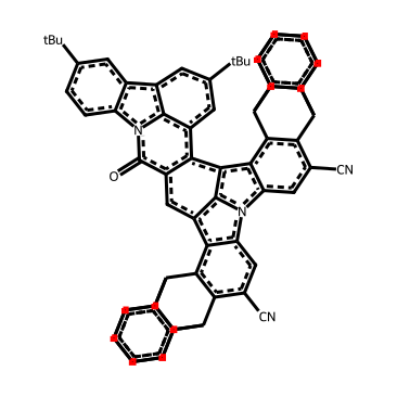 CC(C)(C)c1ccc2c(c1)c1cc(C(C)(C)C)cc3c4c(cc5c6c7c(c(C#N)cc6n6c8cc(C#N)c9c(c8c4c56)C4c5ccccc5C9c5ccccc54)C4c5ccccc5C7c5ccccc54)c(=O)n2c13